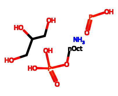 CCCCCCCCOP(=O)(O)O.N.O=PO.OCC(O)CO